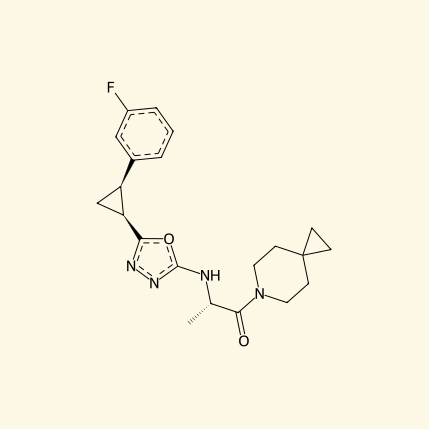 C[C@H](Nc1nnc([C@H]2C[C@H]2c2cccc(F)c2)o1)C(=O)N1CCC2(CC1)CC2